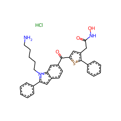 Cl.NCCCCCn1c(-c2ccccc2)cc2ccc(C(=O)c3cc(CC(=O)NO)c(-c4ccccc4)s3)cc21